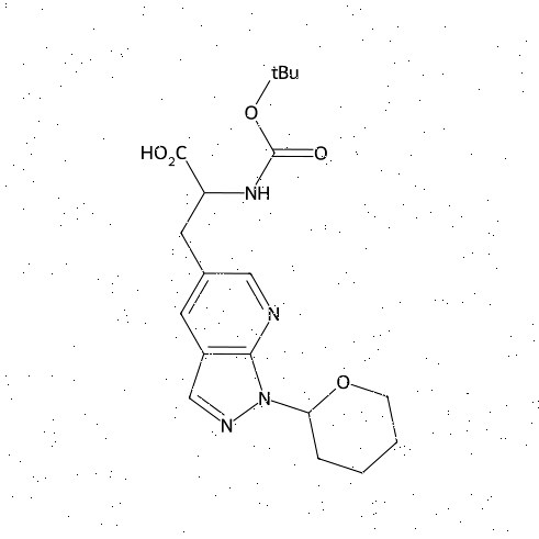 CC(C)(C)OC(=O)NC(Cc1cnc2c(cnn2C2CCCCO2)c1)C(=O)O